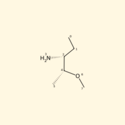 CC[C@@H](N)[C@@H](C)OC